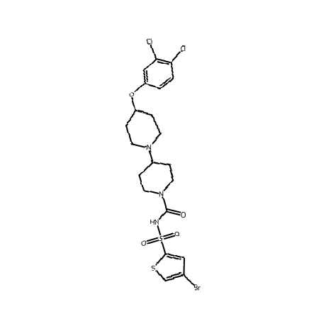 O=C(NS(=O)(=O)c1cc(Br)cs1)N1CCC(N2CCC(Oc3ccc(Cl)c(Cl)c3)CC2)CC1